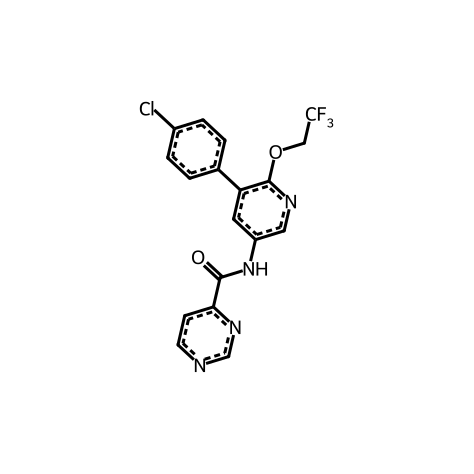 O=C(Nc1cnc(OCC(F)(F)F)c(-c2ccc(Cl)cc2)c1)c1ccncn1